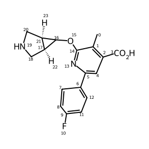 Cc1c(C(=O)O)cc(-c2ccc(F)cc2)nc1OC1[C@H]2CNC[C@@H]12